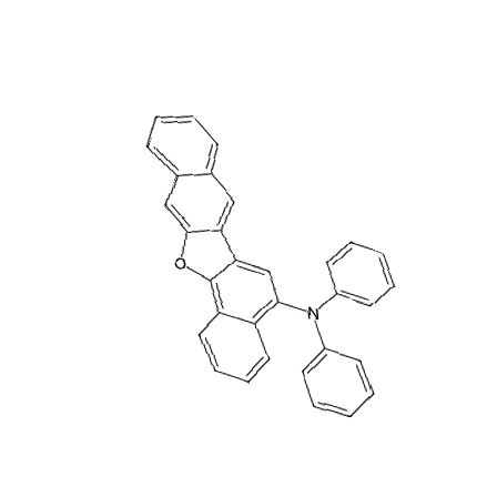 c1ccc(N(c2ccccc2)c2cc3c4cc5ccccc5cc4oc3c3ccccc23)cc1